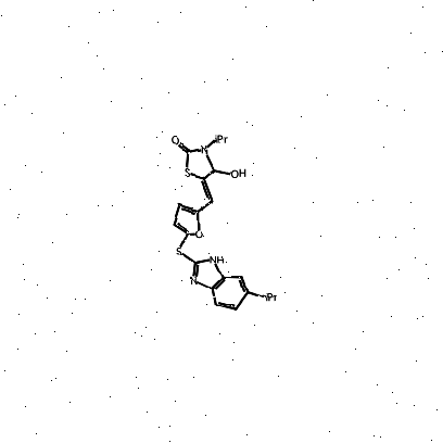 CC(C)c1ccc2nc(Sc3ccc(/C=C4\SC(=O)N(C(C)C)C4O)o3)[nH]c2c1